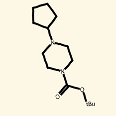 CC(C)(C)OC(=O)N1CCN(C2CCCC2)CC1